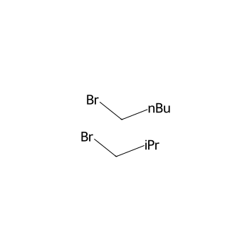 CC(C)CBr.CCCCCBr